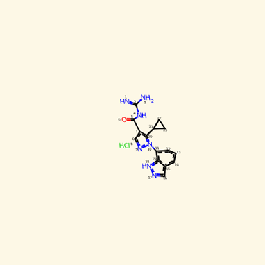 Cl.N=C(N)NC(=O)c1cnn(-c2cccc3cn[nH]c23)c1C1CC1